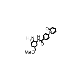 COCC1CCC(N)C(NC(=O)c2ccc(-n3ccccc3=O)cc2)C1